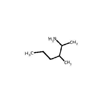 CCCC(C)C(C)N